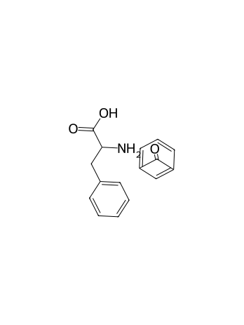 NC(Cc1ccccc1)C(=O)O.O=C1c2cccc1c2